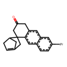 CC(C)c1ccc2cc3c(cc2c1)CC(=O)CC31CC2=CCC1C2